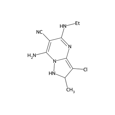 CCNC1=NC2=C(Cl)C(C)NN2C(N)=C1C#N